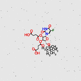 CC(C)(C)[Si](C)(C)OC[C@H]1O[C@@H](n2cc(F)c(=O)[nH]c2=O)[C@H](OC(=O)CCC(=O)O)[C@@H]1OC(=O)CCC(=O)O